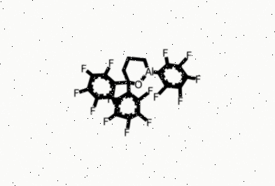 Fc1c(F)c(F)[c]([Al]2[CH2]CCC(c3c(F)c(F)c(F)c(F)c3F)(c3c(F)c(F)c(F)c(F)c3F)[O]2)c(F)c1F